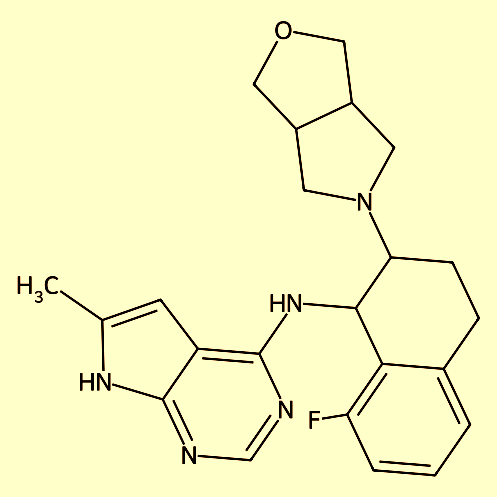 Cc1cc2c(NC3c4c(F)cccc4CCC3N3CC4COCC4C3)ncnc2[nH]1